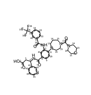 O=C(O)CC(NC(=O)c1ccc(N2CCCN(C(=O)N3CCOCC3)CC2)c(NC(=O)c2cccc(C(F)(F)F)c2)c1)c1cccnc1